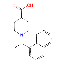 CC(c1cccc2ccccc12)N1CCC(C(=O)O)CC1